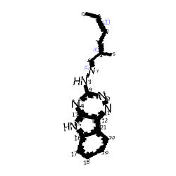 C\C=C/C=C(C)/C=N/Nc1nnc2c(n1)[nH]c1ccccc12